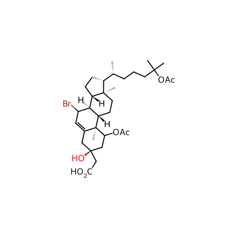 CC(=O)OC1C[C@](O)(CC(=O)O)CC2=CC(Br)[C@H]3[C@@H]4CC[C@H]([C@H](C)CCCC(C)(C)OC(C)=O)[C@@]4(C)CC[C@@H]3[C@]21C